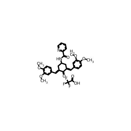 COc1ccc(/C=C2\CC(NC(=O)c3ccccn3)C/C(=C\c3ccc(OC)c(OC)c3)C2=O)cc1OC.O=C(O)C(F)(F)F